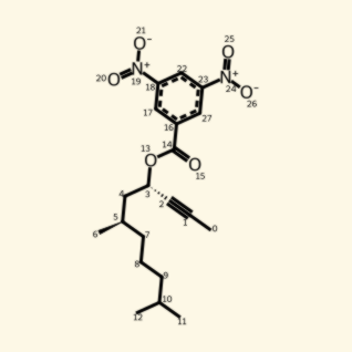 CC#C[C@H](C[C@H](C)CCCC(C)C)OC(=O)c1cc([N+](=O)[O-])cc([N+](=O)[O-])c1